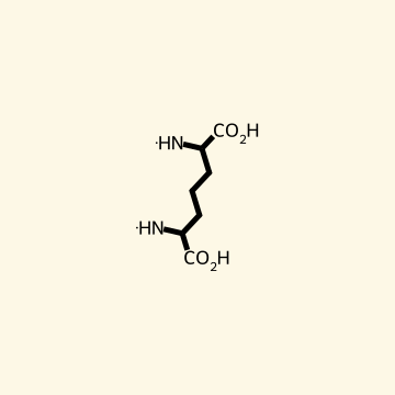 [NH]C(CCCC([NH])C(=O)O)C(=O)O